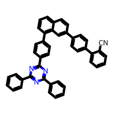 N#Cc1ccccc1-c1ccc(-c2ccc3cccc(-c4ccc(-c5nc(-c6ccccc6)nc(-c6ccccc6)n5)cc4)c3c2)cc1